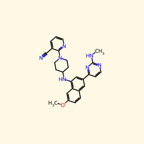 CNc1nccc(-c2cc(NC3CCN(c4ncccc4C#N)CC3)c3cc(OC)ccc3c2)n1